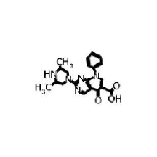 CC1CN(c2ncc3c(=O)c(C(=O)O)cn(-c4ccccc4)c3n2)CC(C)N1